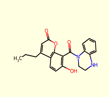 CCCc1cc(=O)oc2c(C(=O)N3CCNc4ccccc43)c(O)ccc12